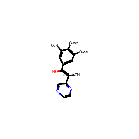 COc1cc(/C(O)=C(\C#N)c2cnccn2)cc([N+](=O)[O-])c1OC